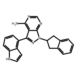 Nc1ncnc2c1c(-c1cccc3[nH]ccc13)nn2C1Cc2ccccc2C1